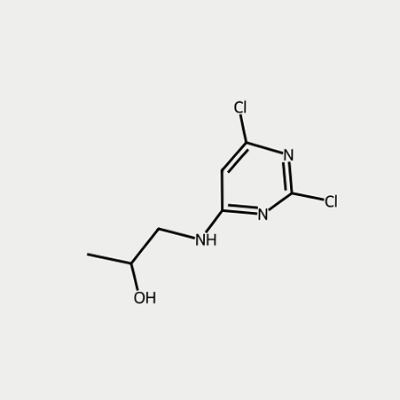 CC(O)CNc1cc(Cl)nc(Cl)n1